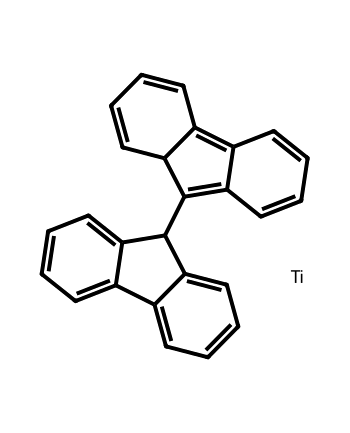 C1=CC2=c3ccccc3=C(C3c4ccccc4-c4ccccc43)C2C=C1.[Ti]